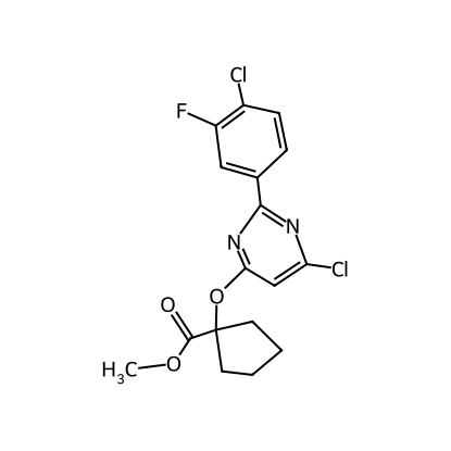 COC(=O)C1(Oc2cc(Cl)nc(-c3ccc(Cl)c(F)c3)n2)CCCC1